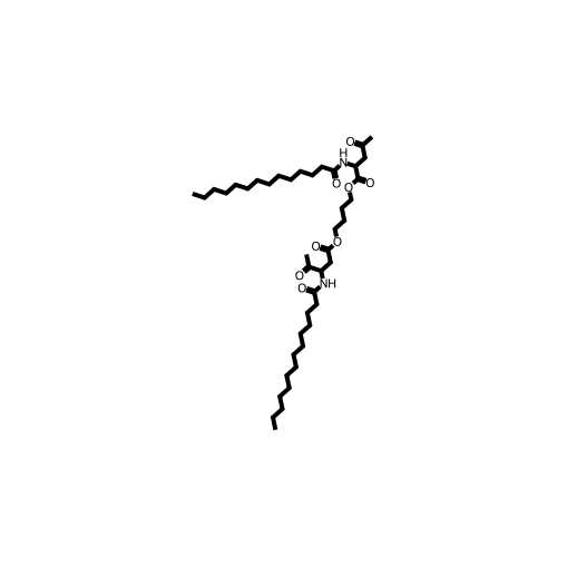 CCCCCCCCCCCCCC(=O)NC(CC(=O)OCCCCOC(=O)C(CC(C)=O)NC(=O)CCCCCCCCCCCCC)C(C)=O